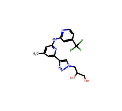 Cc1cc(Nc2cc(C(F)(F)F)ccn2)nc(-c2cn(CC(O)CO)nn2)c1